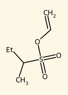 C=COS(=O)(=O)C(C)CC